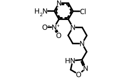 Nc1ncc(Cl)c(N2CCN(CC3=NOCN3)CC2)c1[N+](=O)[O-]